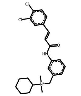 C[N+](C)(Cc1cccc(NC(=O)/C=C/c2ccc(Cl)c(Cl)c2)c1)C1CCCCC1